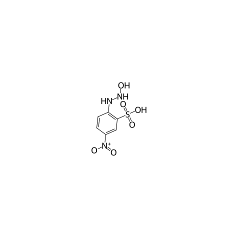 O=[N+]([O-])c1ccc(NNO)c(S(=O)(=O)O)c1